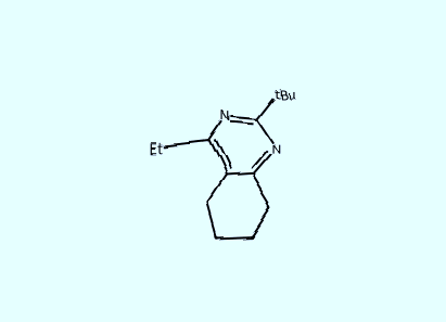 CCc1nc(C(C)(C)C)nc2c1CCCC2